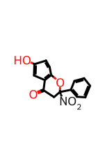 O=C1CC(c2ccccc2)([N+](=O)[O-])Oc2ccc(O)cc21